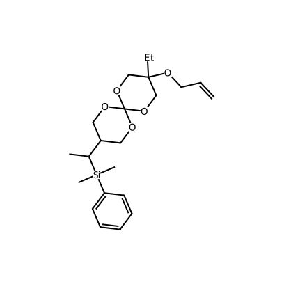 C=CCOC1(CC)COC2(OCC(C(C)[Si](C)(C)c3ccccc3)CO2)OC1